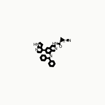 N#C[C@H]1C[C@@H]1C(=O)Nc1cc2cc(-c3ccnc4[nH]ccc34)cc(N=C(c3ccccc3)c3ccccc3)c2cn1